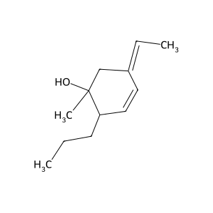 CC=C1C=CC(CCC)C(C)(O)C1